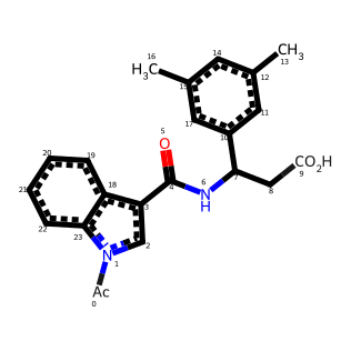 CC(=O)n1cc(C(=O)NC(CC(=O)O)c2cc(C)cc(C)c2)c2ccccc21